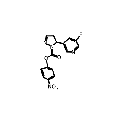 O=C(Oc1ccc([N+](=O)[O-])cc1)N1N=CCC1c1cncc(F)c1